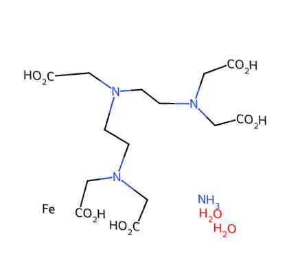 N.O.O.O=C(O)CN(CCN(CC(=O)O)CC(=O)O)CCN(CC(=O)O)CC(=O)O.[Fe]